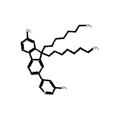 CCCCCCCCC1(CCCCCCCC)c2cc(C)ccc2-c2ccc(-c3cncc(C)c3)cc21